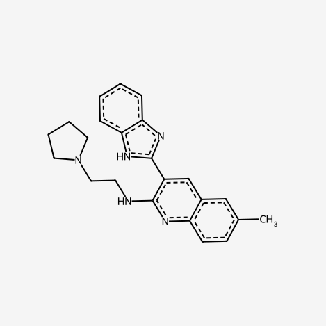 Cc1ccc2nc(NCCN3CCCC3)c(-c3nc4ccccc4[nH]3)cc2c1